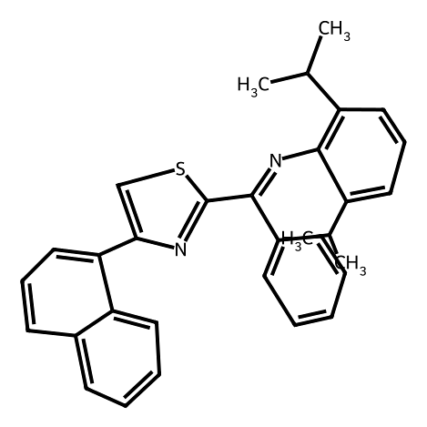 CC(C)c1cccc(C(C)C)c1/N=C(\c1ccccc1)c1nc(-c2cccc3ccccc23)cs1